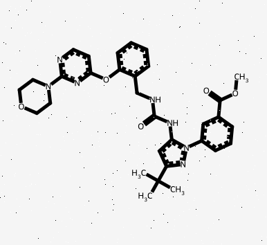 COC(=O)c1cccc(-n2nc(C(C)(C)C)cc2NC(=O)NCc2ccccc2Oc2ccnc(N3CCOCC3)n2)c1